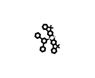 CC1(C)c2ccccc2-c2cc3c(cc21)Oc1cc2c(cc1N3c1cc(-c3ccccc3)cc(-c3ccccc3)c1)-c1ccccc1C2(C)C